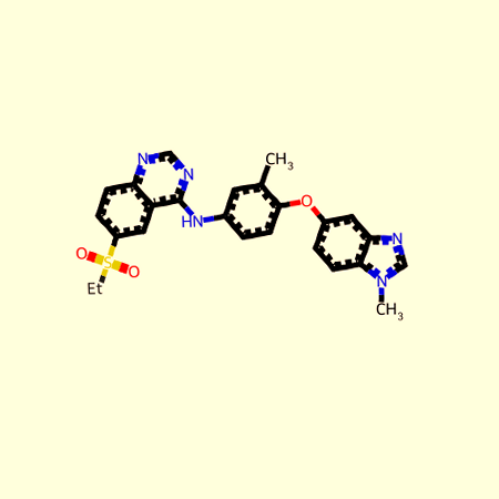 CCS(=O)(=O)c1ccc2ncnc(Nc3ccc(Oc4ccc5c(c4)ncn5C)c(C)c3)c2c1